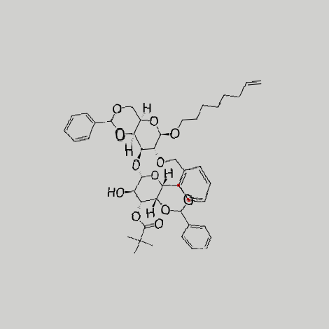 C=CCCCCCCO[C@@H]1O[C@@H]2COC(c3ccccc3)O[C@@H]2[C@H](O[C@@H]2O[C@@H]3COC(c4ccccc4)O[C@@H]3[C@H](OC(=O)C(C)(C)C)[C@H]2O)[C@H]1OCc1ccccc1